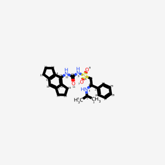 CC(C)NC(CS(=O)(=O)NC(=O)Nc1c2c(cc3c1CCC3)CCC2)c1ccccc1